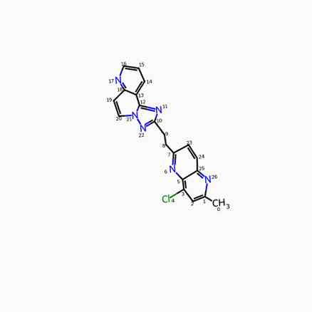 Cc1cc(Cl)c2nc(CCc3nc4c5cccnc5ccn4n3)ccc2n1